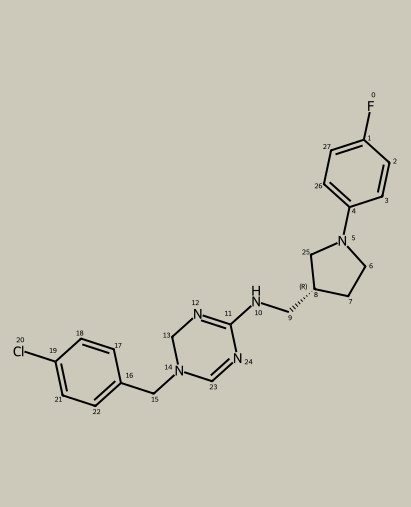 Fc1ccc(N2CC[C@H](CNC3=NCN(Cc4ccc(Cl)cc4)C=N3)C2)cc1